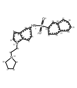 O=S(=O)(Nc1ccc2c(ccn2CCN2CCCC2)c1)c1ccc2ccccc2c1